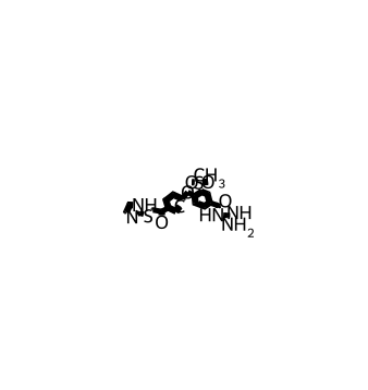 CS(=O)(=O)c1cc(C(=O)NC(=N)N)ccc1Oc1ccc(C(=O)CSc2ncc[nH]2)cc1